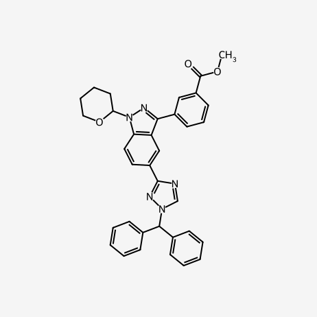 COC(=O)c1cccc(-c2nn(C3CCCCO3)c3ccc(-c4ncn(C(c5ccccc5)c5ccccc5)n4)cc23)c1